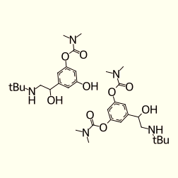 CN(C)C(=O)Oc1cc(O)cc(C(O)CNC(C)(C)C)c1.CN(C)C(=O)Oc1cc(OC(=O)N(C)C)cc(C(O)CNC(C)(C)C)c1